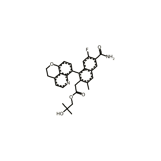 Cc1cc2cc(C(N)=O)c(F)cc2c(-c2ccc3c4c(ccnc24)CCO3)c1CC(=O)OCC(C)(C)O